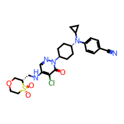 N#Cc1ccc(N(C2CC2)[C@H]2CC[C@H](n3ncc(NC[C@H]4COCCS4(=O)=O)c(Cl)c3=O)CC2)cc1